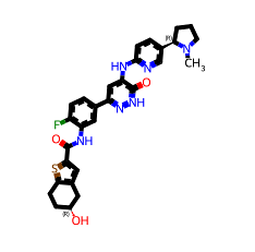 CN1CCC[C@@H]1c1ccc(Nc2cc(-c3ccc(F)c(NC(=O)c4cc5c(s4)CC[C@@H](O)C5)c3)n[nH]c2=O)nc1